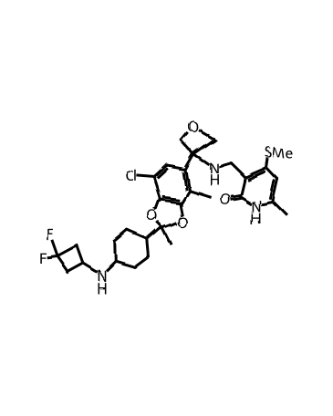 CSc1cc(C)[nH]c(=O)c1CNC1(c2cc(Cl)c3c(c2C)OC(C)(C2CCC(NC4CC(F)(F)C4)CC2)O3)COC1